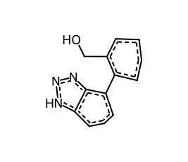 OCc1ccccc1-c1cccc2[nH]nnc12